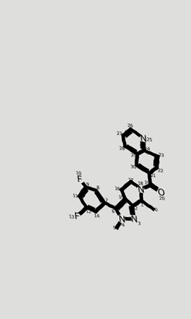 CC1c2nn(C)c(-c3cc(F)cc(F)c3)c2CCN1C(=O)c1ccc2ncccc2c1